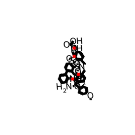 COc1ccc(CN(Cc2ccc(OC)cc2)S(=O)(=O)c2c(S(=O)(=O)CCNC(=O)O)ccc(-c3cccc(N)c3N)c2-c2nnn(Cc3ccc(OC)cc3)n2)cc1